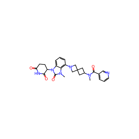 CN(C(=O)c1cccnc1)C1CC2(C1)CN(c1cccc3c1n(C)c(=O)n3C1CCC(=O)NC1=O)C2